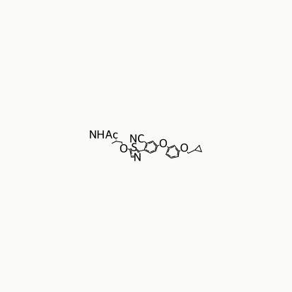 CC(=O)N[C@@H](C)COc1cnc(-c2ccc(Oc3cccc(OCC4CC4)c3)cc2C#N)s1